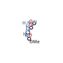 COc1ccc(-n2cnc3c2C(=O)CC(c2ccc(-c4ccncc4S(N)(=O)=O)cc2F)NC3)cc1